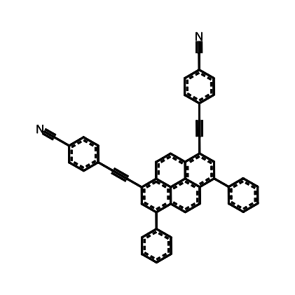 N#Cc1ccc(C#Cc2cc(-c3ccccc3)c3ccc4c(-c5ccccc5)cc(C#Cc5ccc(C#N)cc5)c5ccc2c3c54)cc1